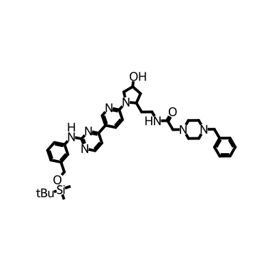 CC(C)(C)[Si](C)(C)OCc1cccc(Nc2nccc(-c3ccc(N4CC(O)CC4CCNC(=O)CN4CCN(Cc5ccccc5)CC4)nc3)n2)c1